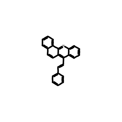 C(=Cc1c2ccccc2nc2c1ccc1ccccc12)c1ccccc1